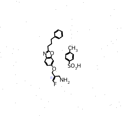 Cc1ccc(S(=O)(=O)O)cc1.NC/C(=C\F)COc1ccc2nc(CCCc3ccccc3)oc2c1